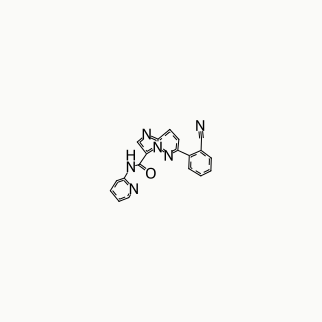 N#Cc1ccccc1-c1ccc2ncc(C(=O)Nc3ccccn3)n2n1